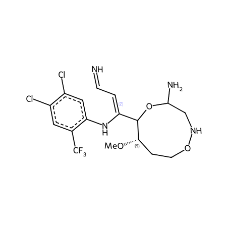 CO[C@H]1CCONCC(N)OC1/C(=C/C=N)Nc1cc(Cl)c(Cl)cc1C(F)(F)F